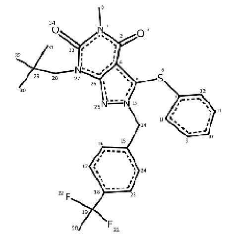 Cn1c(=O)c2c(Sc3ccccc3)n(Cc3ccc(C(C)(F)F)cc3)nc2n(CC(C)(C)C)c1=O